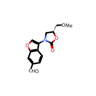 COC[C@H]1CN(c2coc3cc(C=O)ccc23)C(=O)O1